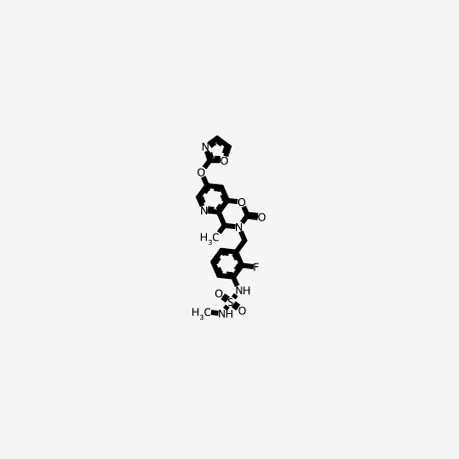 CNS(=O)(=O)Nc1cccc(CN2C(=O)Oc3cc(Oc4ncco4)cnc3C2C)c1F